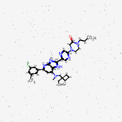 COCC1(CN(C)c2cc(-c3cc(F)cc(C(F)(F)F)c3)nc3nc(-c4cnc(N5CCN(CCC(=O)O)C(=O)C5)cn4)[nH]c23)CCC1